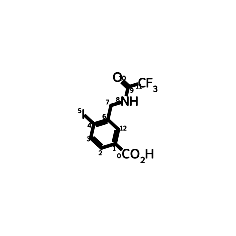 O=C(O)c1ccc(I)c(CNC(=O)C(F)(F)F)c1